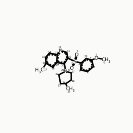 COc1cccc(S(=O)(=O)c2cnc3ccc(C)cc3c2N2CCC(C)CC2)c1